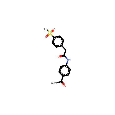 CCS(=O)(=O)c1ccc(CC(=O)Nc2ccc(C(=O)NC)cc2)cc1